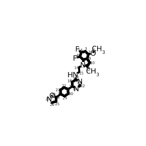 COc1cc(F)c(F)c2c1cc(C)n2CCNc1cc(-c2ccc(-c3ccno3)cc2)ncn1